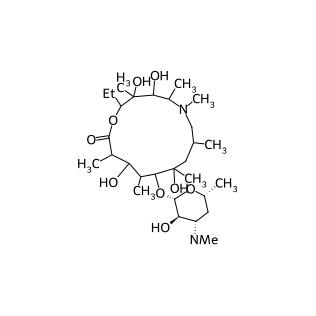 CCC1OC(=O)C(C)C(O)C(C)C(O[C@@H]2O[C@H](C)C[C@H](NC)[C@H]2O)C(C)(O)CC(C)CN(C)C(C)C(O)C1(C)O